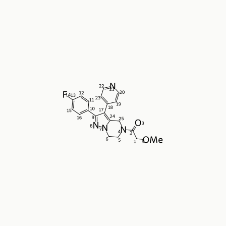 COCC(=O)N1CCn2nc(-c3ccc(F)cc3)c(-c3ccncc3)c2C1